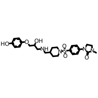 CN1CCN(c2ccc(S(=O)(=O)N3CCC(CNCC(O)COc4ccc(O)cc4)CC3)cc2)C1=O